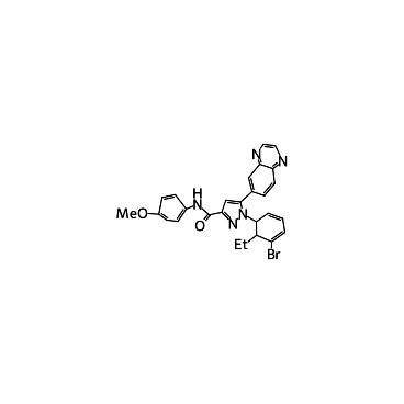 CCC1C(Br)=CC=CC1n1nc(C(=O)Nc2ccc(OC)cc2)cc1-c1ccc2nccnc2c1